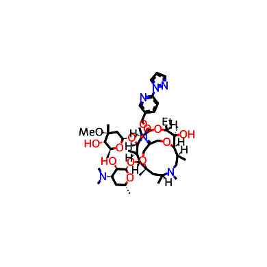 CC[C@H]1OC(=O)[C@H](C)[C@@H](O[C@H]2C[C@@](C)(OC)[C@@H](O)[C@H](C)O2)[C@H](C)[C@@H](O[C@@H]2O[C@H](C)C[C@H](N(C)C)[C@H]2O)[C@@]2(C)C[C@@H](C)N(C)C[C@H](C)[C@@H](OC/C(=N\OCc3ccc(-n4cccn4)nc3)CO2)[C@]1(C)O